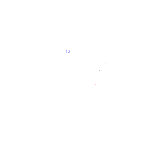 N#CC(CC(=O)O)C(N)c1ccccc1